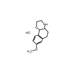 COc1ccc2c(c1)CCC1NCCOC21.Cl